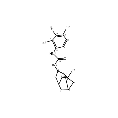 CCC12CC3CC(C1)CC(NC(=O)Nc1ccc(F)c(F)c1F)(C3)O2